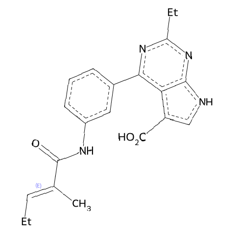 CC/C=C(\C)C(=O)Nc1cccc(-c2nc(CC)nc3[nH]cc(C(=O)O)c23)c1